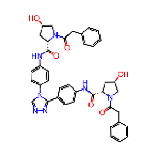 O=C(Nc1ccc(-c2nncn2-c2ccc(NC(=O)[C@@H]3C[C@@H](O)CN3C(=O)Cc3ccccc3)cc2)cc1)[C@@H]1C[C@@H](O)CN1C(=O)Cc1ccccc1